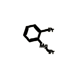 C[CH](C)[Mg][c]1ccccc1C(C)C